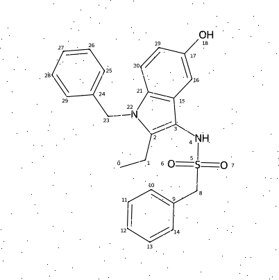 CCc1c(NS(=O)(=O)Cc2ccccc2)c2cc(O)ccc2n1Cc1ccccc1